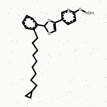 CCCCCCCCOc1ccc(C2=COC(c3ccccc3CCCCCCCCCC3CC3)O2)cn1